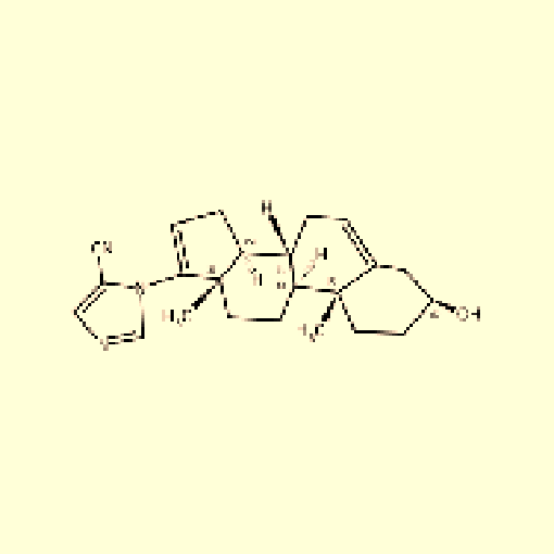 C[C@]12CC[C@H](O)CC1=CC[C@@H]1[C@@H]2CC[C@]2(C)C(n3cncc3C#N)=CC[C@@H]12